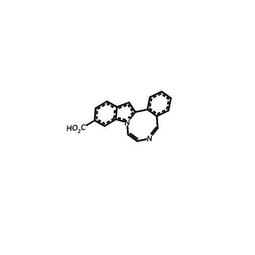 O=C(O)c1ccc2cc3n(c2c1)C=CN=Cc1ccccc1-3